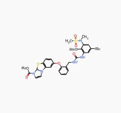 COC(=O)N1C=CN2c3cc(Oc4ccccc4CNC(=O)Nc4cc(C(C)(C)C)cc(N(C)S(C)(=O)=O)c4OC)ccc3SC12